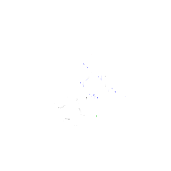 CCONc1nc(N)nc(-c2cc(Cl)ccc2Cl)n1